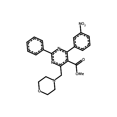 COC(=O)c1c(CN2CCOCC2)nc(-c2ccccc2)nc1-c1cccc([N+](=O)[O-])c1